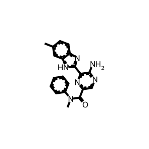 Cc1ccc2nc(-c3nc(C(=O)N(C)c4ccccc4)cnc3N)[nH]c2c1